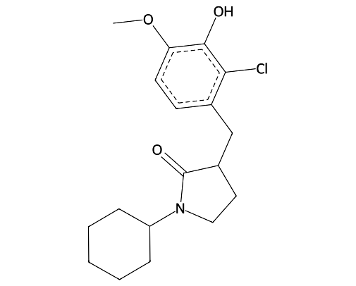 COc1ccc(CC2CCN(C3CCCCC3)C2=O)c(Cl)c1O